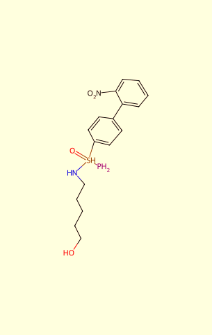 O=[N+]([O-])c1ccccc1-c1ccc([SH](=O)(P)NCCCCCO)cc1